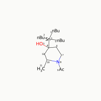 CCC[CH2][Sn]([CH2]CCC)([CH2]CCC)[C]1(O)CCN(C(C)=O)C(C)C1